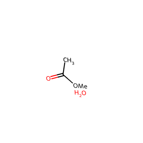 COC(C)=O.O